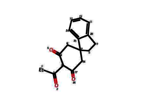 CCC(=O)C1C(=O)CC2(CCc3ccccc32)CC1=O